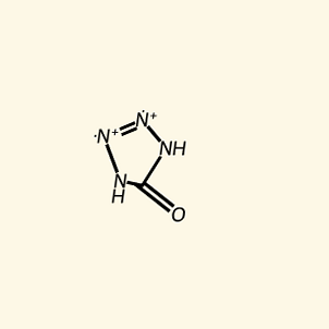 O=C1N[N+]=[N+]N1